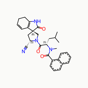 CC(C)C[C@@H](C(=O)N1C[C@]2(C[C@H]1C#N)C(=O)NC1=C2C=CCC1)N(C)C(=O)c1cccc2ccccc12